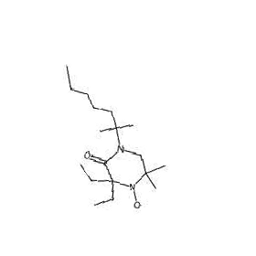 CCCCCC(C)(C)N1CC(C)(C)N([O])C(CC)(CC)C1=O